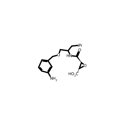 CC(C)CC(COCc1cccc(N)c1)NC(=O)[C@H]1O[C@@H]1C(=O)O